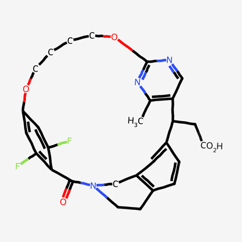 Cc1nc2ncc1C(CC(=O)O)c1ccc3c(c1)CN(CC3)C(=O)c1c(F)cc(cc1F)OCCCCO2